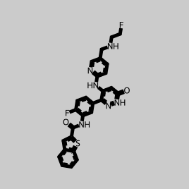 O=C(Nc1cc(-c2n[nH]c(=O)cc2Nc2ccc(CNCCF)cn2)ccc1F)c1cc2ccccc2s1